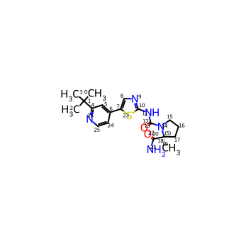 CC(C)(C)c1cc(-c2cnc(NC(=O)N3CCC[C@@]3(C)C(N)=O)s2)ccn1